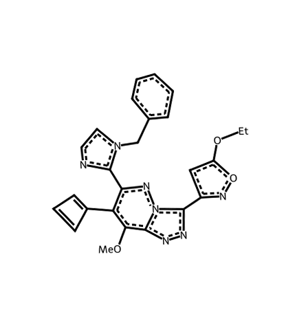 CCOc1cc(-c2nnc3c(OC)c(C4=CC=C4)c(-c4nccn4Cc4ccccc4)nn23)no1